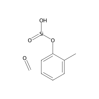 C=O.Cc1ccccc1O[Si](=O)O